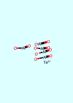 [O]=[Al][O-].[O]=[Al][O-].[O]=[Al][O-].[O]=[Al][O-].[O]=[Al][O-].[Ta+5]